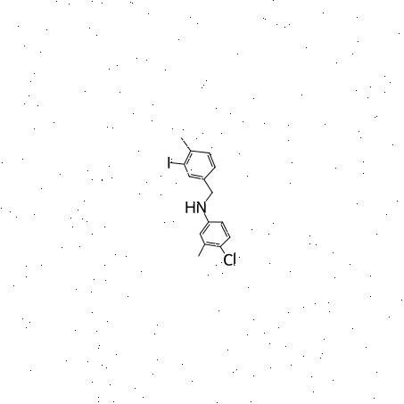 Cc1cc(NCc2ccc(C)c(I)c2)ccc1Cl